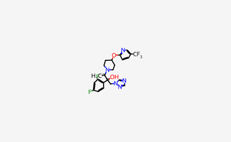 C[C@@H](N1CCC(Oc2ccc(C(F)(F)F)cn2)CC1)[C@](O)(Cn1cncn1)c1ccc(F)cc1F